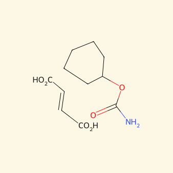 NC(=O)OC1CCCCC1.O=C(O)C=CC(=O)O